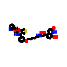 O=C(NC(c1ccsc1)c1cccc(OCCCCCCNC[C@@H](O)c2ccc(O)c3[nH]c(=O)ccc23)c1)O[C@H]1CN2CCC1CC2